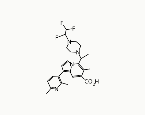 Cc1ccc(-c2ccn3c(C(C)N4CCN(C(F)C(F)F)CC4)c(C)c(C(=O)O)cc23)c(C)n1